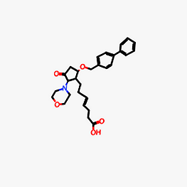 O=C(O)CCC=CCCC1[C@@H](OCc2ccc(-c3ccccc3)cc2)CC(=O)[C@@H]1N1CCOCC1